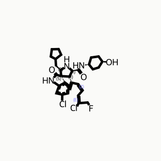 C=C(/C=C\C=C(\Cl)CF)[C@H]1[C@H](C(=O)N[C@H]2CC[C@H](O)CC2)N[C@H](CC2CCCC2)[C@]12C(=O)Nc1cc(Cl)ccc12